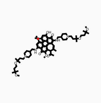 COc1c2c3c4c(c(NCC5CCN(CCC(C)(C)OCCC(C)(C)OC)CC5)c(=O)c5c(O)cc(OC)c(c6c(OC)cc(NCC7CCN(CCC(C)(C)OCCC(C)(C)OC)CC7)c(c1=O)c63)c54)C=C(C)C2C(C)=O